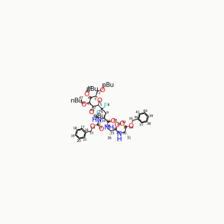 CCCCOC[C@H]1O[C@@H](C(F)(F)C[C@H](NC(=O)OCc2ccccc2)C(=O)N[C@@H](C)C(=O)N[C@@H](C)C(=O)OCc2ccccc2)[C@H](OCCCC)[C@@H](OCCCC)[C@H]1OCCCC